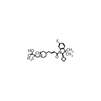 CC(C)(CN1CCC(CC=CC(=O)N2C(=C3CCC3)C(C)(C)c3ccc(F)cc32)CC1)C(=O)O